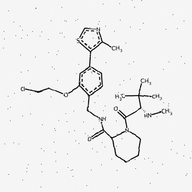 CN[C@H](C(=O)N1CCCCC1C(=O)NCc1ccc(-c2scnc2C)cc1OCCCl)C(C)(C)C